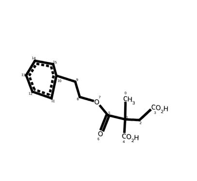 CC(CC(=O)O)(C(=O)O)C(=O)OCCc1ccccc1